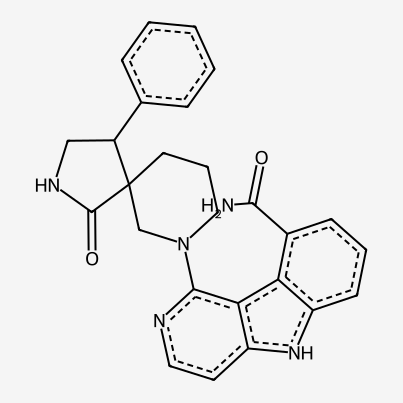 NC(=O)c1cccc2[nH]c3ccnc(N4CCCC5(C4)C(=O)NCC5c4ccccc4)c3c12